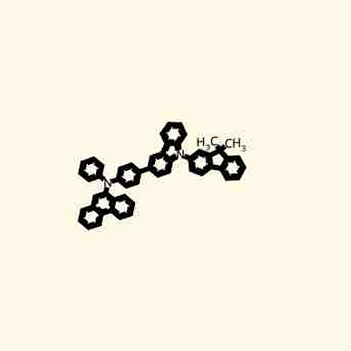 CC1(C)c2ccccc2-c2ccc(-n3c4ccccc4c4cc(-c5ccc(N(c6ccccc6)c6cc7ccccc7c7ccccc67)cc5)ccc43)cc21